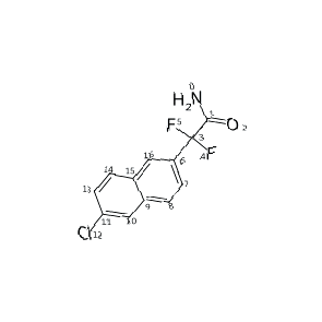 NC(=O)C(F)(F)c1ccc2cc(Cl)ccc2c1